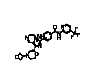 N[N+]12C=CN=CC1=C([C@H]1CN(C3COC3)CCO1)N=C2c1ccc(C(=O)Nc2cc(C(F)(F)F)ccn2)cc1